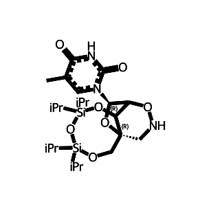 Cc1cn([C@@H]2O[C@@]34CNOC2C3O[Si](C(C)C)(C(C)C)O[Si](C(C)C)(C(C)C)OC4)c(=O)[nH]c1=O